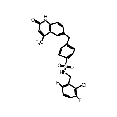 O=c1cc(C(F)(F)F)c2cc(Cc3ccc(S(=O)(=O)NCc4c(F)ccc(F)c4Cl)cc3)ccc2[nH]1